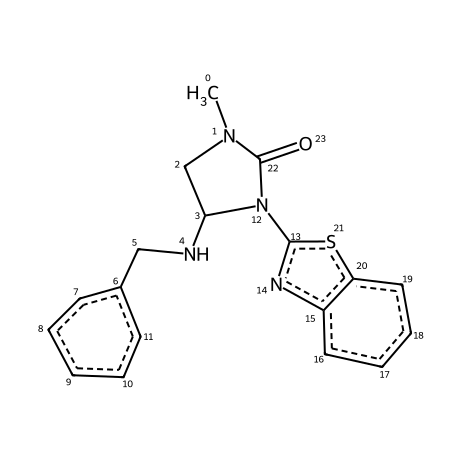 CN1CC(NCc2ccccc2)N(c2nc3ccccc3s2)C1=O